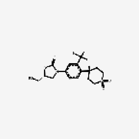 O=C1O[C@@H](CO)CN1c1ccc(C2(F)CCS(=O)(=O)CC2)c(C(F)(F)F)c1